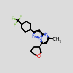 Cc1cc([C@@H]2CCCOC2)n2nc(C3CCC(C(F)(F)F)CC3)cc2n1